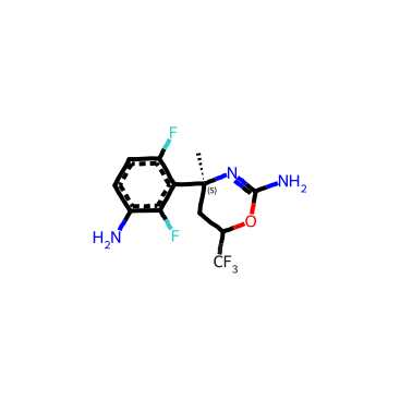 C[C@@]1(c2c(F)ccc(N)c2F)CC(C(F)(F)F)OC(N)=N1